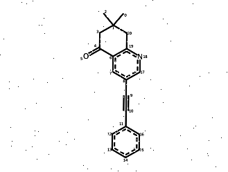 CC1(C)CC(=O)c2cc(C#Cc3ccccc3)cnc2C1